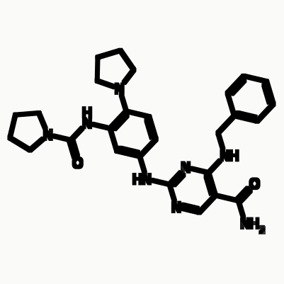 NC(=O)c1cnc(Nc2ccc(N3CCCC3)c(NC(=O)N3CCCC3)c2)nc1NCc1ccccc1